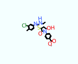 CCN/C(=N/c1ccc(C)c(Cl)c1)SC1CC(O)N(c2ccc(C(=O)OC)cc2)C1=O